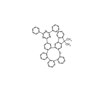 CC1(C)c2ccccc2-c2cc3c(cc21)Oc1ccccc1-c1ccccc1-c1ccccc1-c1ccc(-c2nc(-c4ccccc4)nc(-c4ccccc4)n2)cc1-3